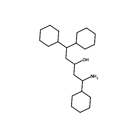 NC(CC(O)CC(C1CCCCC1)C1CCCCC1)C1CCCCC1